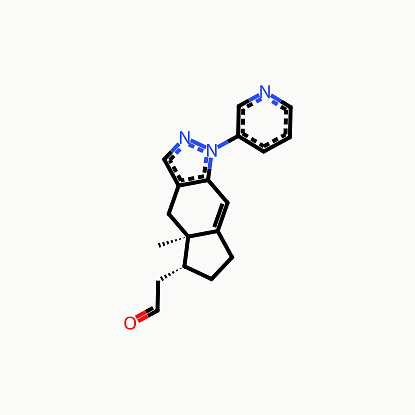 C[C@]12Cc3cnn(-c4cccnc4)c3C=C1CC[C@@H]2CC=O